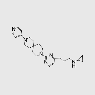 c1cc(N2CCC3(CC2)CCN(c2nccc(CCCNC4CC4)n2)CC3)ccn1